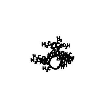 Cc1cc(C)c(N(C(=O)O)[C@@H]2C[C@H]3C(=O)N[C@]4(C(=O)NS(=O)(=O)C5(C)CC5)C[C@H]4/C=C\CC[C@H](C)C[C@@H](C)[C@H](NC(=O)OC(C)(C)C(F)(F)F)C(=O)N3C2)c(Cl)c1